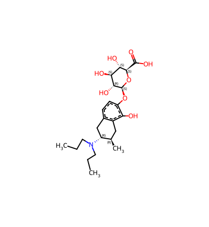 CCCN(CCC)[C@@H]1Cc2ccc(O[C@@H]3O[C@H](C(=O)O)[C@@H](O)[C@H](O)[C@H]3O)c(O)c2C[C@H]1C